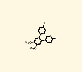 COc1cc(-c2ccc(F)cc2)c(-c2ccc(F)cc2)cc1OC